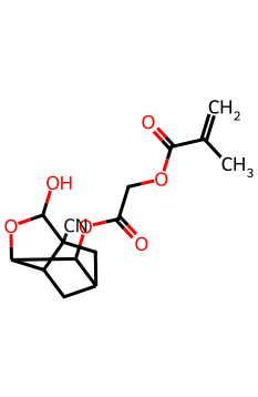 C=C(C)C(=O)OCC(=O)OC1C2CC3C1OC(O)C3(C#N)C2